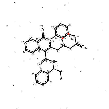 CC[C@H](NC(=O)c1c(CN2CCNC(=O)C2)n(-c2ccccc2)c(=O)c2ccccc12)c1ccccc1